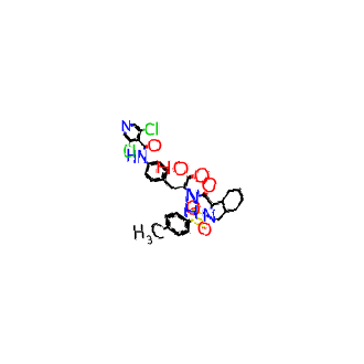 Cc1ccc(S(=O)(=O)N2CC3CCCCC3C2C(=O)N[C@@H](Cc2ccc(NC(=O)c3c(Cl)cncc3Cl)cc2)C(=O)O)cc1